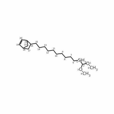 COC(OC)[SiH2]CCCCCCCCCCC1CC2C=CC1C2